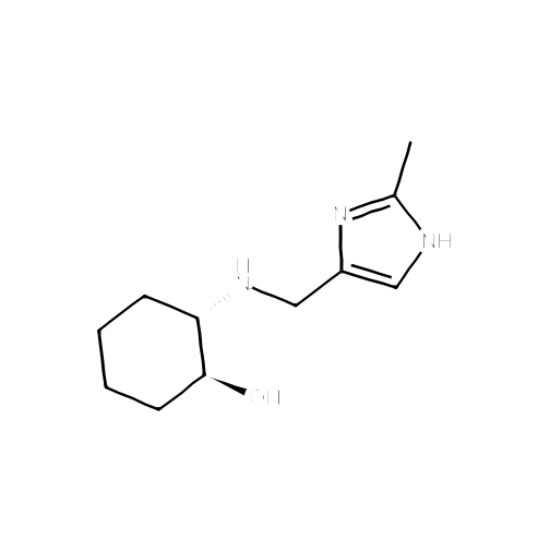 Cc1nc(CN[C@H]2CCCC[C@@H]2O)c[nH]1